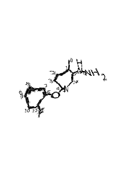 CC1=CCC(Oc2ccccc2F)=NC=C1NN